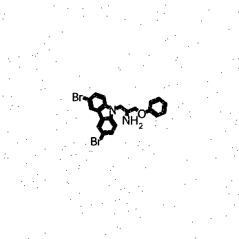 NC(COc1ccccc1)Cn1c2ccc(Br)cc2c2cc(Br)ccc21